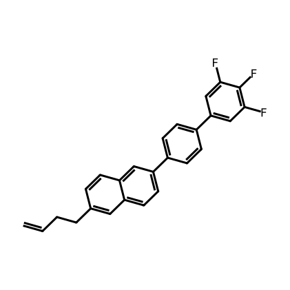 C=CCCc1ccc2cc(-c3ccc(-c4cc(F)c(F)c(F)c4)cc3)ccc2c1